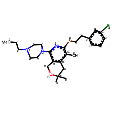 COCCN1CCN(c2nc(SCCc3cccc(Br)c3)c(C#N)c3c2COC(C)(C)C3)CC1